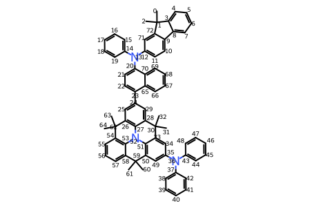 CC1(C)c2ccccc2-c2ccc(N(c3ccccc3)c3ccc(-c4cc5c6c(c4)C(C)(C)c4cc(N(c7ccccc7)c7ccccc7)cc7c4N6c4c(cccc4C7(C)C)C5(C)C)c4ccccc34)cc21